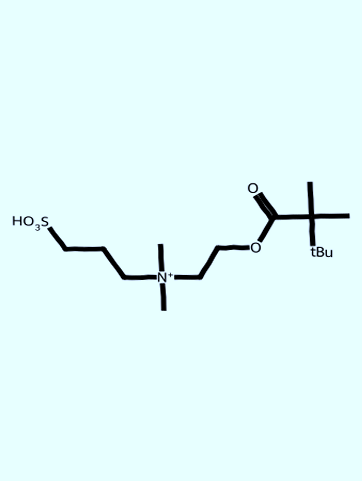 CC(C)(C)C(C)(C)C(=O)OCC[N+](C)(C)CCCS(=O)(=O)O